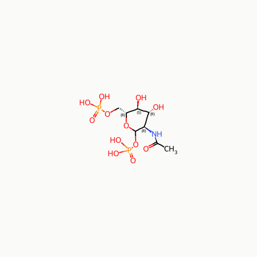 CC(=O)N[C@H]1C(OP(=O)(O)O)O[C@H](COP(=O)(O)O)[C@@H](O)[C@@H]1O